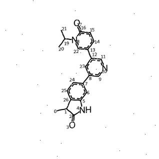 CC1C(=O)Nc2cc(-c3cncc(-c4ccc(=O)n(C(C)C)c4)c3)ccc21